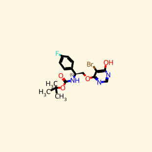 CC(C)(C)OC(=O)N[C@H](COc1ncnc(O)c1Br)c1ccc(F)cc1